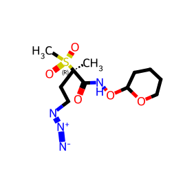 C[C@@](CCN=[N+]=[N-])(C(=O)NOC1CCCCO1)S(C)(=O)=O